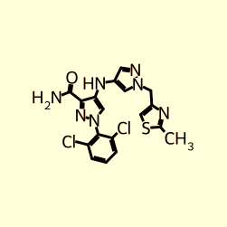 Cc1nc(Cn2cc(Nc3cn(-c4c(Cl)cccc4Cl)nc3C(N)=O)cn2)cs1